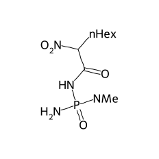 CCCCCCC(C(=O)NP(N)(=O)NC)[N+](=O)[O-]